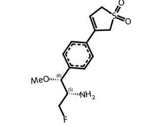 CO[C@H](c1ccc(C2=CCS(=O)(=O)C2)cc1)[C@H](N)CF